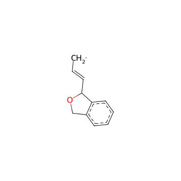 [CH2]C=CC1OCc2ccccc21